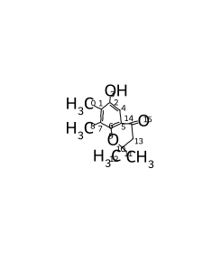 Cc1c(O)cc2c(c1C)OC(C)(C)CC2=O